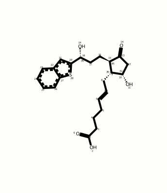 O=C(O)CCCC=CC[C@H]1[C@@H](O)CC(=O)[C@@H]1CC[C@@H](O)c1cc2ccccc2s1